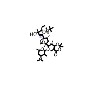 CC[C@@H](O[Si](C)(C)C(C)(C)C)[C@@](C)(O)/C=C/C(=O)[C@H](C)C[C@@](C)(OC)[C@H](O[C@@H]1O[C@H](C)CC(N(C)C)C1C)[C@@H](C)C1=C(C)C(=O)OC(C)(C)O1